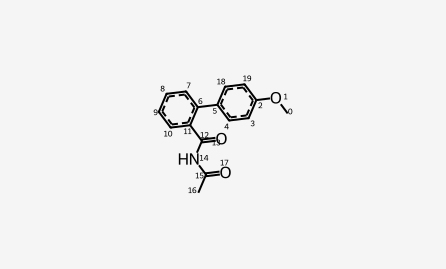 COc1ccc(-c2ccccc2C(=O)NC(C)=O)cc1